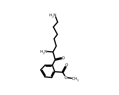 COC(=O)c1ccccc1C(=O)C(N)CCCCCN